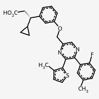 Cc1ccc(F)c(-c2ncc(COc3cccc([C@@H](CC(=O)O)C4CC4)c3)nc2-c2sccc2C)c1